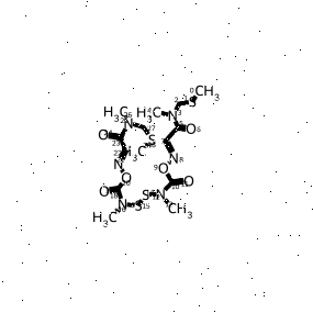 CSCN(C)C(=O)C=NOC(=O)N(C)SSN(C)C(=O)ON=CC(=O)N(C)CSC